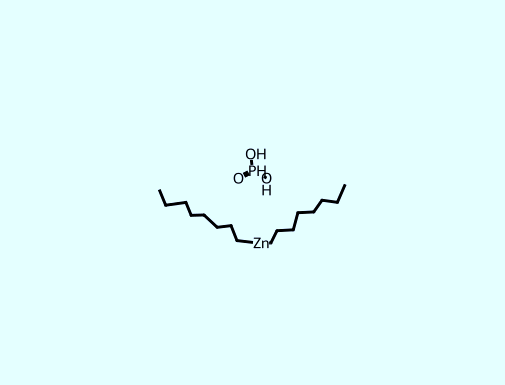 CCCCCCC[CH2][Zn][CH2]CCCCCCC.O=[PH](O)O